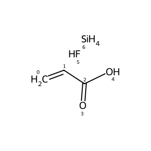 C=CC(=O)O.F.[SiH4]